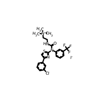 C[N+](C)(C)CCNC(=O)N(c1cccc(C(F)(F)F)c1)c1nc(-c2cccc(Cl)c2)cs1.[I-]